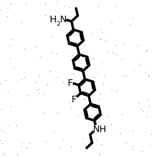 CCCNc1ccc(-c2ccc(-c3ccc(-c4ccc(C(N)CC)cc4)cc3)c(F)c2F)cc1